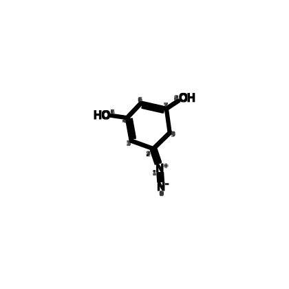 [N-]=[N+]=C1C=C(O)C=C(O)C1